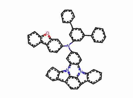 c1ccc(-c2cc(-c3ccccc3)cc(N(c3ccc4c(c3)oc3ccccc34)c3ccc4c(c3)n3c5ccccc5c5ccc6c7ccccc7n4c6c53)c2)cc1